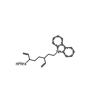 C=CC(CCCCCC)CCC(C=C)CCn1c2ccccc2c2ccccc21